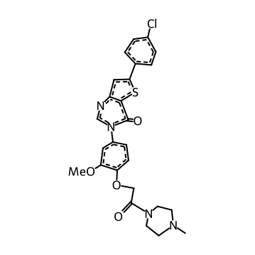 COc1cc(-n2cnc3cc(-c4ccc(Cl)cc4)sc3c2=O)ccc1OCC(=O)N1CCN(C)CC1